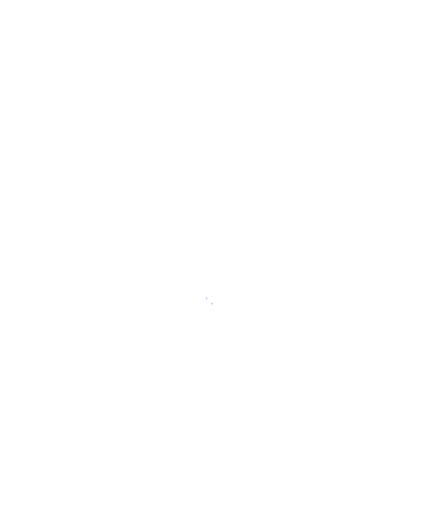 C=CCc1ccccc1/C=C/[n+]1ccccc1